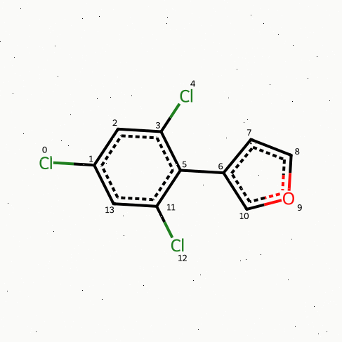 Clc1cc(Cl)c(-c2[c]coc2)c(Cl)c1